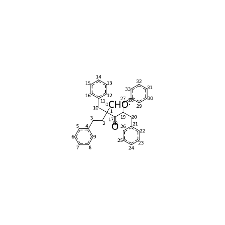 O=[C]C(CCc1ccccc1)(Cc1ccccc1)C(=O)C(Cc1ccccc1)Cc1ccccc1